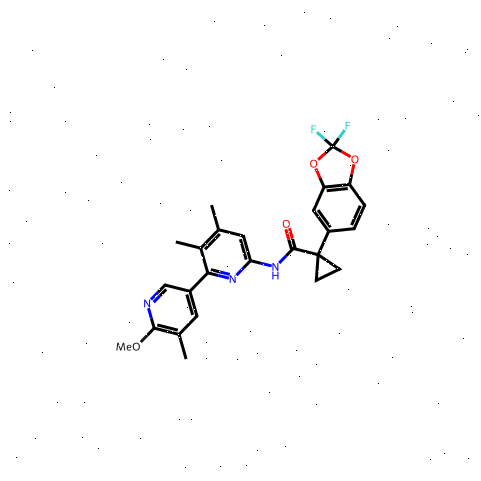 COc1ncc(-c2nc(NC(=O)C3(c4ccc5c(c4)OC(F)(F)O5)CC3)cc(C)c2C)cc1C